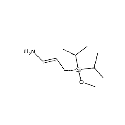 CO[Si](CC=CN)(C(C)C)C(C)C